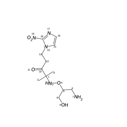 CC(C)(NOC(CN)CO)C(=O)CCn1ccnc1[N+](=O)[O-]